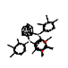 Cc1ccc(P(c2ccc(C)c(C)c2C)[C]23[CH]4[CH]5[CH]6[C]2(P(c2ccc(C)c(C)c2C)c2ccc(C)c(C)c2C)[Ru]54632789[CH]3[CH]2[CH]7[CH]8[CH]39)c(C)c1C